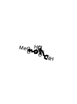 COC(=O)CCc1ccc(N2C(=O)CN(CCC3CCNCC3)C2=O)cc1.Cl